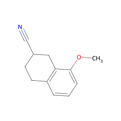 COc1cccc2c1CC(C#N)CC2